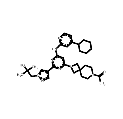 CC(=O)N1CCC2(CC1)CN(c1cc(Nc3cc(C4CCCCC4)ccn3)nc(-c3cnn(CC(C)(C)O)c3)n1)C2